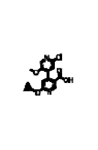 COc1cnc(Cl)cc1-c1cc(OC2CC2)ncc1C(=O)O